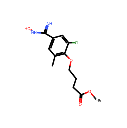 Cc1cc(C(=N)NO)cc(Cl)c1OCCCC(=O)OC(C)(C)C